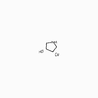 C1CCNC1.Cl.[Cu]